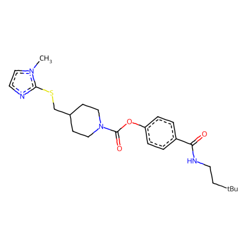 Cn1ccnc1SCC1CCN(C(=O)Oc2ccc(C(=O)NCCC(C)(C)C)cc2)CC1